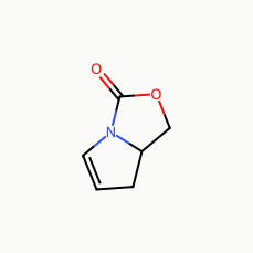 O=C1OCC2CC=CN12